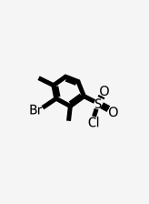 Cc1ccc(S(=O)(=O)Cl)c(C)c1Br